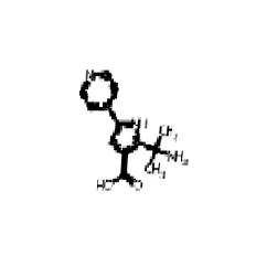 CC(C)(N)c1[nH]c(-c2ccncc2)cc1C(=O)O